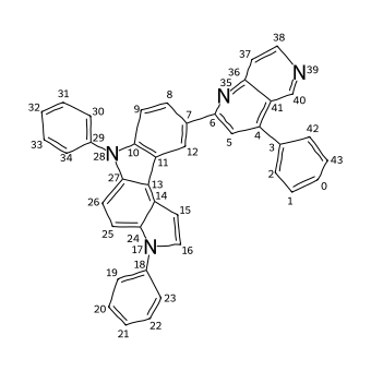 c1ccc(-c2cc(-c3ccc4c(c3)c3c5ccn(-c6ccccc6)c5ccc3n4-c3ccccc3)nc3ccncc23)cc1